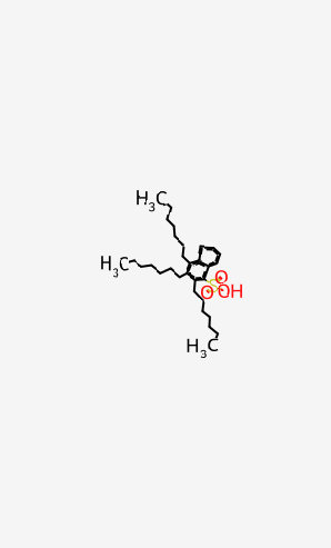 CCCCCCCc1c(CCCCCCC)c(S(=O)(=O)O)c2ccccc2c1CCCCCCC